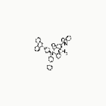 C=c1cccc/c1=C(/c1coc2cc(-c3nc4ccccc4o3)ccc12)N(c1ccc(-c2ccccc2)cc1)c1ccc(-c2cc3ccccc3c3ccccc23)cc1